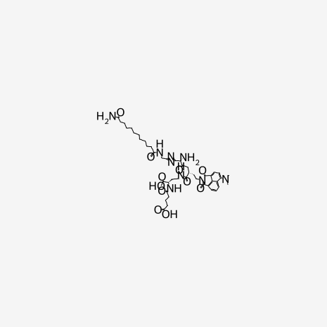 CN(C)c1ccc2c3c(cccc13)C(=O)N(CC[C@@H](CC(=O)[C@@H](N)C1N3C(CNC(=O)CCCCCCCCCCC(N)=O)N13)C(=O)NCC[C@@H](NC(=O)CCCC(=O)O)C(=O)O)C2=O